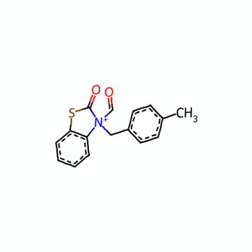 Cc1ccc(C[N+]2(C=O)C(=O)Sc3ccccc32)cc1